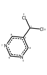 ClC(Cl)c1cncnc1